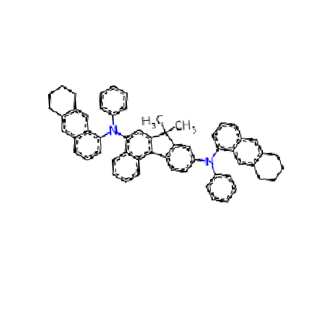 CC1(C)c2cc(N(c3ccccc3)c3cccc4cc5c(cc34)CCCC5)ccc2-c2c1cc(N(c1ccccc1)c1cccc3cc4c(cc13)CCCC4)c1ccccc21